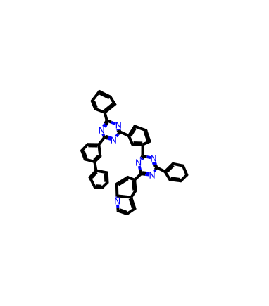 C1=CC(c2nc(-c3cccc(-c4nc(-c5ccccc5)nc(-c5cccc(-c6ccccc6)c5)n4)c3)nc(-c3ccc4ncccc4c3)n2)=CCC1